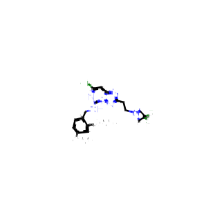 COc1ccc(CNc2nc(Cl)cc3nc(CCN4CC(F)(F)C4)nn23)c(OC)c1